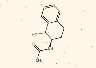 CC(=O)N[C@@H]1CCc2ccccc2[C@H]1O